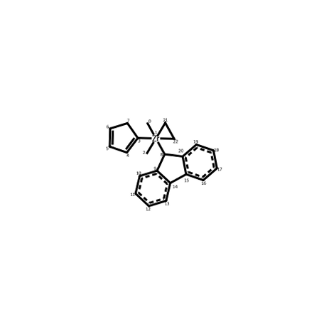 [CH3][Zr]1([CH3])([C]2=CC=CC2)([CH]2c3ccccc3-c3ccccc32)[CH2][CH2]1